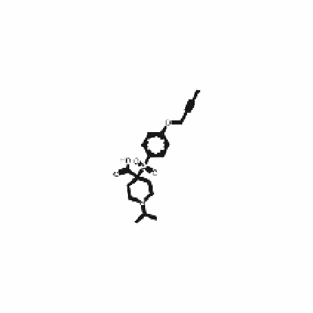 CC#CCOc1ccc(S(=O)(=O)C2(C(=O)O)CCN(C(C)C)CC2)cc1